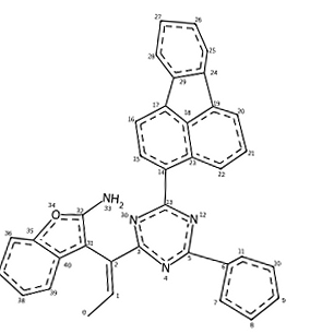 C/C=C(/c1nc(-c2ccccc2)nc(-c2ccc3c4c(cccc24)-c2ccccc2-3)n1)c1c(N)oc2ccccc12